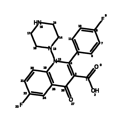 O=C(O)c1c(-c2ccc(F)cc2)n(N2CCNCC2)c2ccc(F)cc2c1=O